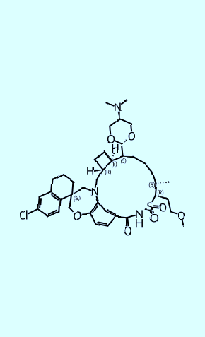 COCC[C@@H]1[C@@H](C)CCC[C@H]([C@H]2OC[C@H](N(C)C)CO2)[C@@H]2CC[C@H]2CN2C[C@@]3(CCCc4cc(Cl)ccc43)COc3ccc(cc32)C(=O)NS1(=O)=O